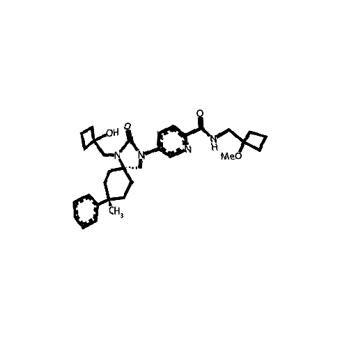 COC1(CNC(=O)c2ccc(N3C[C@]4(CC[C@@](C)(c5ccccc5)CC4)N(CC4(O)CCC4)C3=O)cn2)CCC1